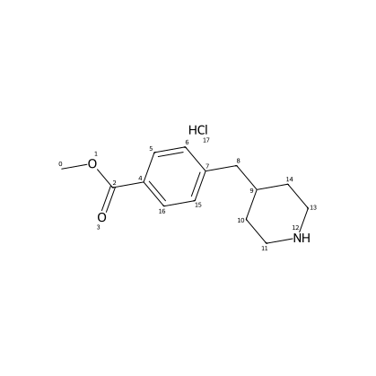 COC(=O)c1ccc(CC2CCNCC2)cc1.Cl